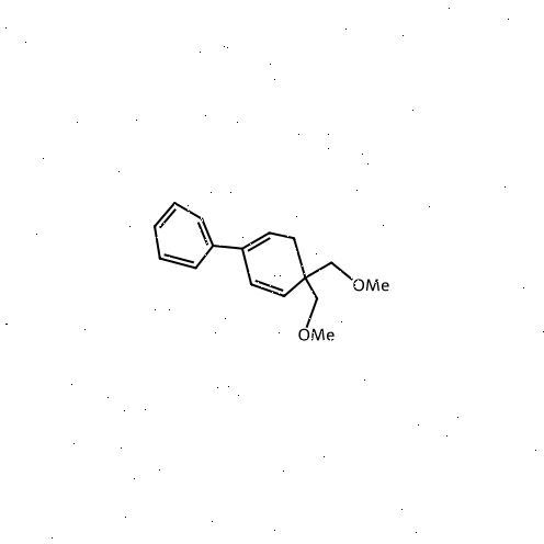 COCC1(COC)C=CC(c2ccccc2)=CC1